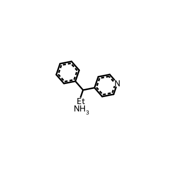 CCC(c1ccccc1)c1ccncc1.N